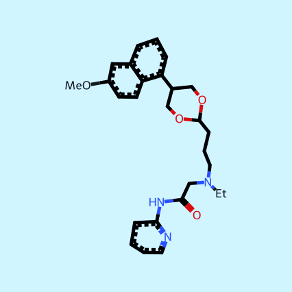 CCN(CCCC1OCC(c2cccc3cc(OC)ccc23)CO1)CC(=O)Nc1ccccn1